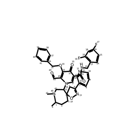 CC1CCC2(CC(c3cccnc3)=NO2)C(n2cc(C(=O)NCc3ccc(F)cc3F)c(=O)c(OCc3ccccc3)c2C=O)CN1C